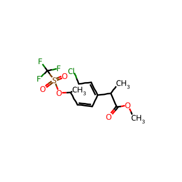 COC(=O)C(C)C(/C=C\C(C)OS(=O)(=O)C(F)(F)F)=C/CCl